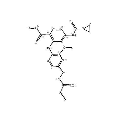 CCC(=O)NCc1ccc(Nc2cc(NC(=O)C3CC3)ncc2C(=O)OC)c(OC)n1